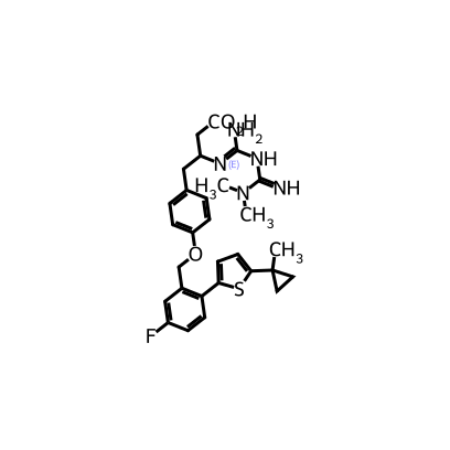 CN(C)C(=N)N/C(N)=N/C(CC(=O)O)Cc1ccc(OCc2cc(F)ccc2-c2ccc(C3(C)CC3)s2)cc1